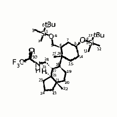 CC(C)(C)[Si](C)(C)OC[C@H]1C[C@@H](O[Si](C)(C)C(C)(C)C)CC[C@]1(C)[C@H]1CC[C@]2(C)CCC[C@H]2[C@@H]1CNC(=O)C(F)(F)F